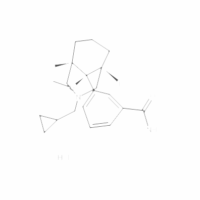 CO[C@]1(c2cccc(C(N)=O)c2)[C@@H]2CCC[C@H]1CN(CC1CC1)C2.Cl